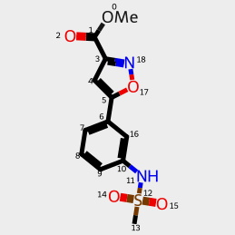 COC(=O)c1cc(-c2cccc(NS(C)(=O)=O)c2)on1